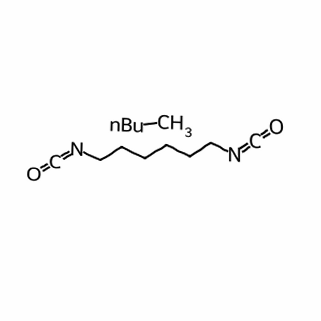 CCCCC.O=C=NCCCCCCN=C=O